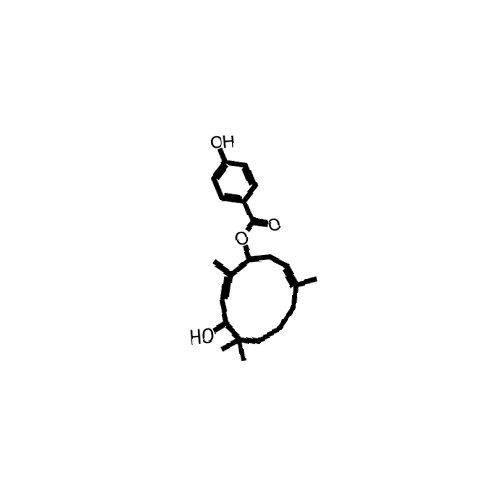 C/C1=C/CC(OC(=O)c2ccc(O)cc2)/C(C)=C\C(O)C(C)(C)CCC1